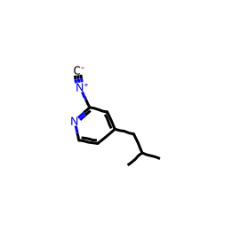 [C-]#[N+]c1cc(CC(C)C)ccn1